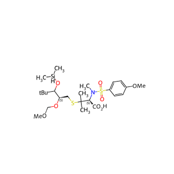 COCO[C@H](CSC(C)(C)[C@H](C(=O)O)N(C)S(=O)(=O)c1ccc(OC)cc1)C(O[SiH](C)C)C(C)(C)C